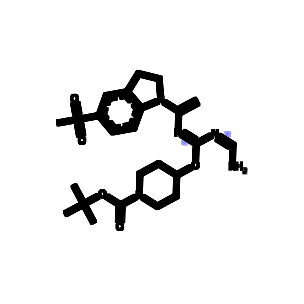 C=C(/N=C(\N=C/N)OC1CCN(C(=O)OC(C)(C)C)CC1)N1CCc2cc(S(C)(=O)=O)ccc21